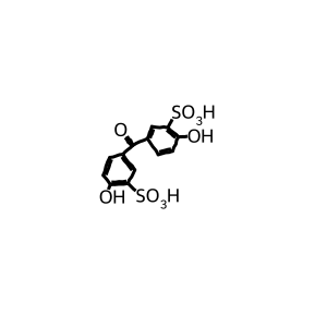 O=C(c1ccc(O)c(S(=O)(=O)O)c1)c1ccc(O)c(S(=O)(=O)O)c1